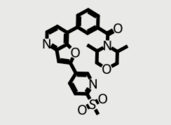 CC1COCC(C)N1C(=O)c1cccc(-c2ccnc3cc(-c4ccc(S(C)(=O)=O)nc4)oc23)c1